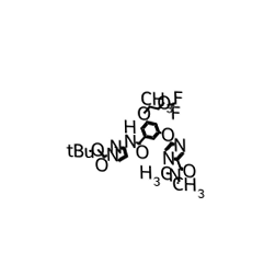 C[C@@H](COC(F)F)Oc1cc(Oc2cnc(C(=O)N(C)C)cn2)cc(C(=O)Nc2ccn(C(=O)OC(C)(C)C)n2)c1